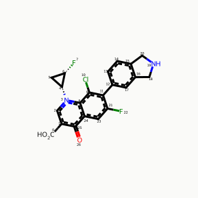 O=C(O)c1cn([C@@H]2C[C@@H]2F)c2c(Cl)c(-c3ccc4c(c3)CNC4)c(F)cc2c1=O